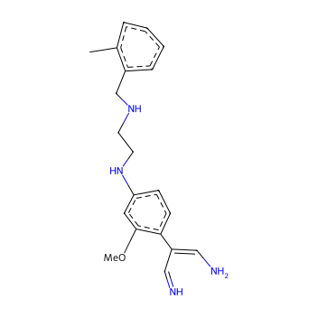 COc1cc(NCCNCc2ccccc2C)ccc1/C(C=N)=C/N